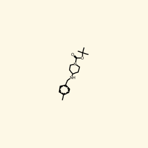 Cc1ccc(CNC2CCN(C(=O)OC(C)(C)C)CC2)cc1